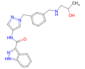 CC(O)CNCc1cccc(Cn2cc(NC(=O)c3n[nH]c4ccccc34)cn2)c1